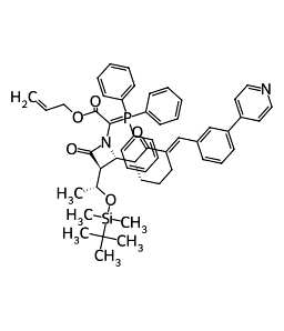 C=CCOC(=O)C(N1C(=O)[C@H]([C@@H](C)O[Si](C)(C)C(C)(C)C)[C@H]1[C@H]1CCC/C(=C\c2cccc(-c3ccncc3)c2)C1=O)=P(c1ccccc1)(c1ccccc1)c1ccccc1